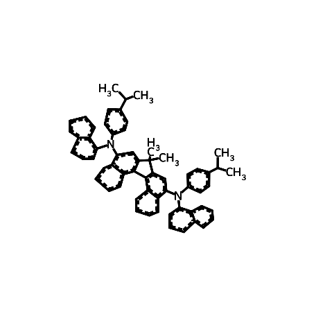 CC(C)c1ccc(N(c2cccc3ccccc23)c2cc3c(c4ccccc24)-c2c(cc(N(c4ccc(C(C)C)cc4)c4cccc5ccccc45)c4ccccc24)C3(C)C)cc1